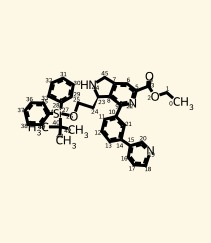 CCOC(=O)c1cc2c(c(-c3cccc(-c4cccnc4)c3)n1)[C@@H](CCO[Si](c1ccccc1)(c1ccccc1)C(C)(C)C)NC2